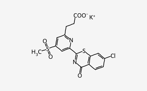 CS(=O)(=O)c1cc(CCC(=O)[O-])nc(-c2nc(=O)c3ccc(Cl)cc3s2)c1.[K+]